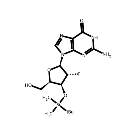 CC(C)(C)[Si](C)(C)O[C@@H]1[C@@H](F)[C@H](n2cnc3c(=O)[nH]c(N)nc32)O[C@@H]1CO